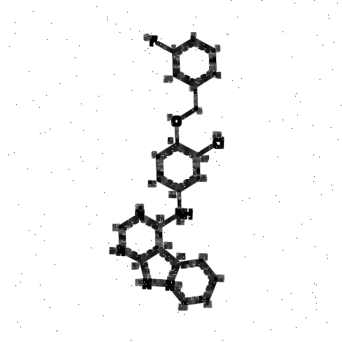 Fc1cccc(COc2ccc(Nc3ncnc4nn5ccccc5c34)cc2Cl)c1